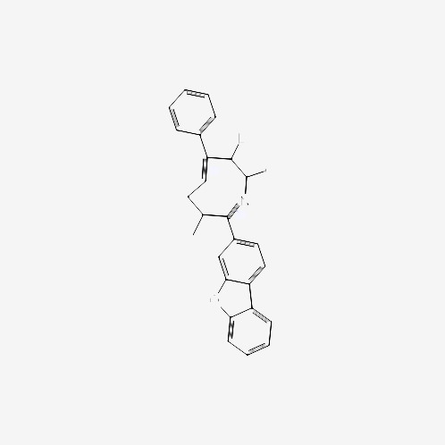 CCC1/C(c2ccccc2)=C/CC(C)/C(c2ccc3c(c2)oc2ccccc23)=N\C1Cl